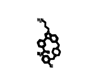 NCCCn1cc(-c2cccc(C(N)=O)c2)c2cc(CN3CCN(Cc4ccccc4Cl)CC3)ccc21